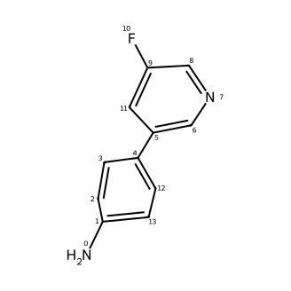 Nc1ccc(-c2cncc(F)c2)cc1